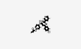 CCC(=O)ON1CCC(Nc2cc(-c3ccc(Cl)cc3)nc(-c3cccnc3)n2)CC1